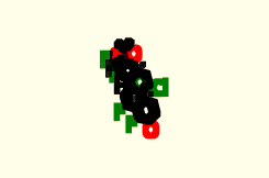 CC1(C)O[C@@H]2C[C@H]3[C@@H]4C[C@H](F)C5=C(F)C(=O)C=C[C@]5(C)[C@@]4(Cl)[C@@H](Cl)C[C@]3(C)[C@]2(C(=O)C(F)F)O1